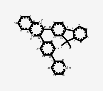 CC1(C)c2ccccc2-c2ccc(-c3nc4ccccc4nc3-c3ccc(-c4cccnc4)cc3)cc21